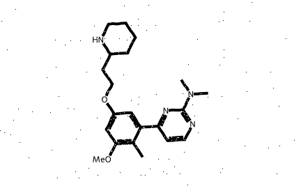 [CH2]c1c(OC)cc(OCCC2CCCCN2)cc1-c1ccnc(N(C)C)n1